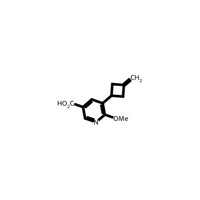 C=C1CC(c2cc(C(=O)O)cnc2OC)C1